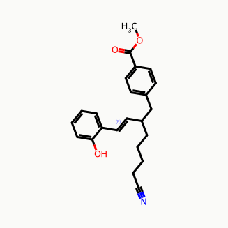 COC(=O)c1ccc(CC(/C=C/c2ccccc2O)CCCCC#N)cc1